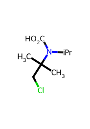 CC(C)N(C(=O)O)C(C)(C)CCl